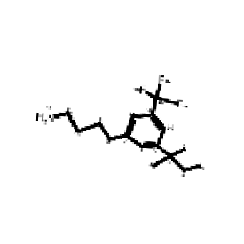 CCC(C)(C)c1cc(CCCCN)cc(C(F)(F)F)c1